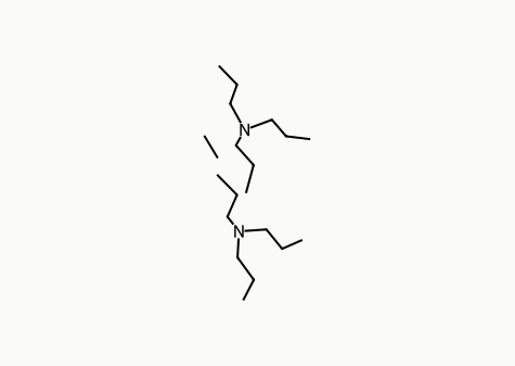 CC.CCCN(CCC)CCC.CCCN(CCC)CCC